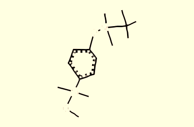 CO[Si](C)(C)c1ccc(O[Si](C)(C)C(C)(C)C)cc1